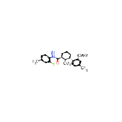 COc1cc(C(F)(F)F)ccc1[C@H]1CCCC(C(=O)Nc2ccc(C(F)(F)F)cc2F)C1C(=O)O